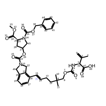 C=C(C)[C@H](NC(=O)OCC(C)(C)CC/C=C/c1cccc2c1CN(C(=O)OC1C[C@@H](C(=O)OC)N(C(=O)OCc3ccccc3)C1)C2)C(=O)O